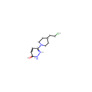 O=c1ccc(N2CCC(CCCl)CC2)n[nH]1